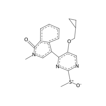 Cn1cc(-c2nc([S+](C)[O-])ncc2OCC2CC2)c2ccccc2c1=O